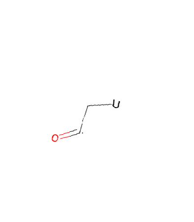 O=[C][CH2][U]